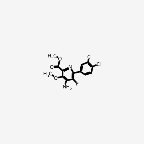 COC(=O)c1nc(-c2ccc(Cl)c(Cl)c2)c(F)c(N)c1OC